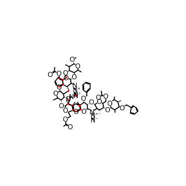 CO[C@@H]1OC(C)[C@@H](O[C@H]2OC(COC(C)=O)[C@H](O[C@@H]3OC(C)[C@@H](O[C@H]4OC(COC(C)=O)[C@@H](O[C@@H]5OC(C)[C@@H](O[C@@H]6OC(COC(C)=O)[C@H](O[C@@H]7OC(C)[C@@H](C)[C@@H](OCc8ccccc8)C7C)[C@H](C)C6N=[N+]=[N-])[C@@H](OCc6ccccc6)C5C)[C@H](C)C4N=[N+]=[N-])[C@@H](OCc4ccccc4)C3C)[C@H](C)C2N=[N+]=[N-])[C@@H](OCc2ccccc2)C1C